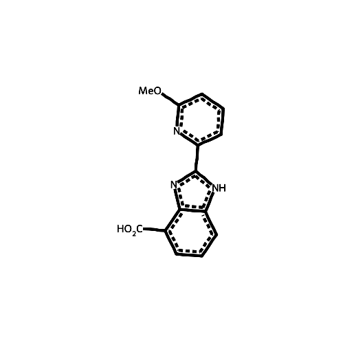 COc1cccc(-c2nc3c(C(=O)O)cccc3[nH]2)n1